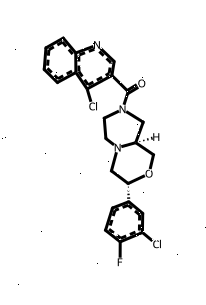 O=C(c1cnc2ccccc2c1Cl)N1CCN2C[C@@H](c3ccc(F)c(Cl)c3)OC[C@@H]2C1